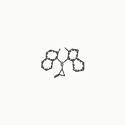 C=C1CC1B(c1c(C)ccc2ccccc12)c1c(C)ccc2ccccc12